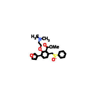 COC(=O)c1c(C[S+]([O-])c2ccccc2)ccc(-c2ccoc2)c1OCCN(C)C